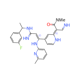 CNC(=O)/C(C=N)=C1C=C(/C(=C/C(=N)NC(C)c2cccc(F)c2)Nc2cccc(C)n2)C=CN\1